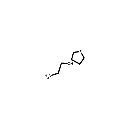 C1CCSC1.NCCO